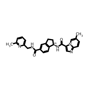 Cc1ccc2ncc(C(=O)N[C@@H]3CCc4cc(C(=O)NCc5cccc(C)n5)ccc43)n2c1